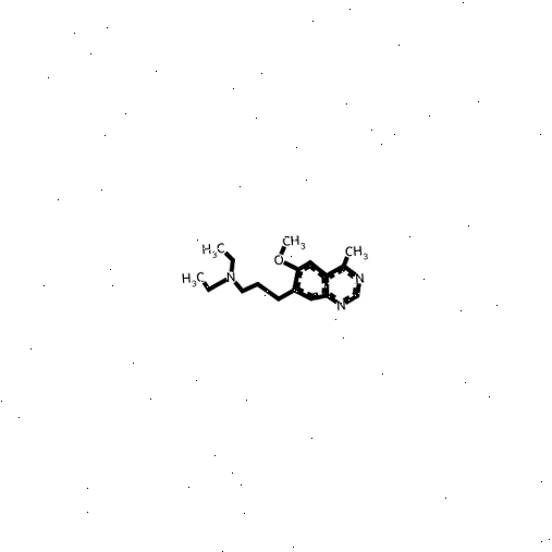 CCN(CC)CCCc1cc2ncnc(C)c2cc1OC